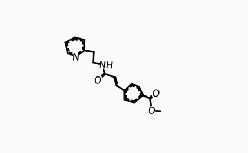 COC(=O)c1ccc(C=CC(=O)NCCc2ccccn2)cc1